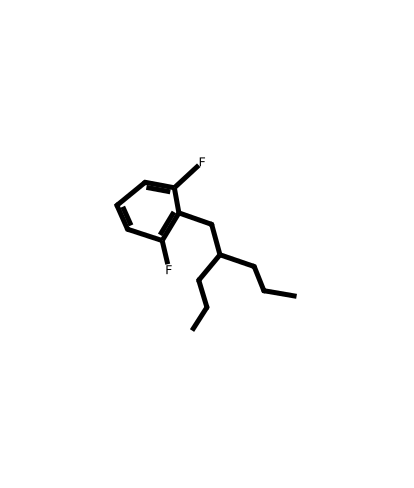 CCCC(CCC)Cc1c(F)cccc1F